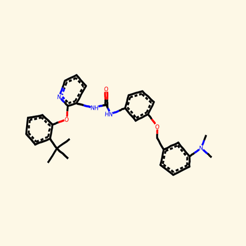 CN(C)c1cccc(COc2cccc(NC(=O)Nc3cccnc3Oc3ccccc3C(C)(C)C)c2)c1